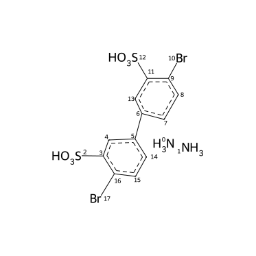 N.N.O=S(=O)(O)c1cc(-c2ccc(Br)c(S(=O)(=O)O)c2)ccc1Br